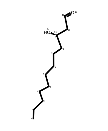 CCCCCCCCC[C@@H](O)CC=O